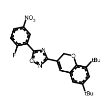 CC(C)(C)c1cc2c(c(C(C)(C)C)c1)OCC(c1noc(-c3cc([N+](=O)[O-])ccc3F)n1)=C2